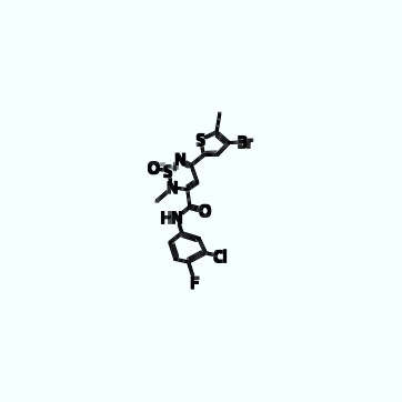 Cc1sc(C2=N[S+]([O-])N(C)C(C(=O)Nc3ccc(F)c(Cl)c3)=C2)cc1Br